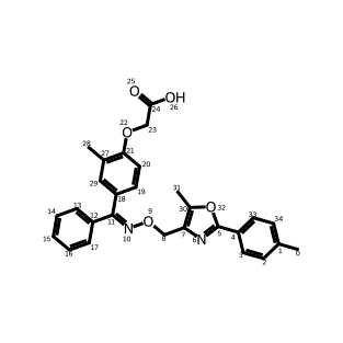 Cc1ccc(-c2nc(CON=C(c3ccccc3)c3ccc(OCC(=O)O)c(C)c3)c(C)o2)cc1